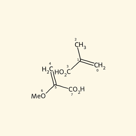 C=C(C)C(=O)O.C=C(OC)C(=O)O